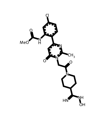 COC(=O)Nc1cc(Cl)ccc1-c1cc(=O)n(CC(=O)N2CCC(C(=N)NO)CC2)c(C)n1